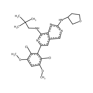 COc1cc(OC)c(Cl)c(-c2cc3cnc(NC4CCOC4)nc3c(NCC(C)(C)C)n2)c1Cl